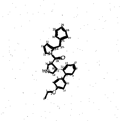 CCOc1ccc(-c2ccccc2[C@@H]2CNC[C@H]2C(=O)n2cccc2Cc2ccccc2)cc1